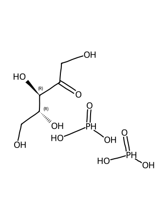 O=C(CO)[C@H](O)[C@H](O)CO.O=[PH](O)O.O=[PH](O)O